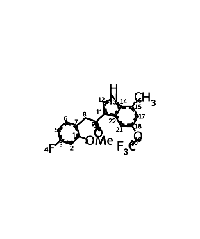 COc1cc(F)ccc1CC(=O)c1c[nH]c2c(C)cc(OC(F)(F)F)cc12